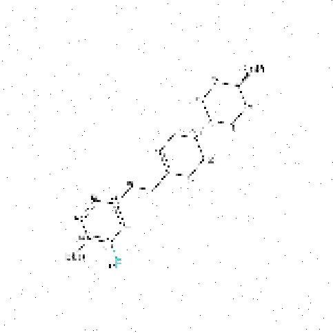 CCC[C@H]1CC[C@H](C2CC=C(CCc3ccc(CC)c(F)c3)CC2)CC1